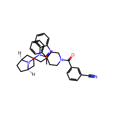 Cc1nc2ccccc2n1C1C[C@H]2CC[C@@H](C1)N2CCC1(c2ccccc2)CCN(C(=O)c2cccc(C#N)c2)CC1